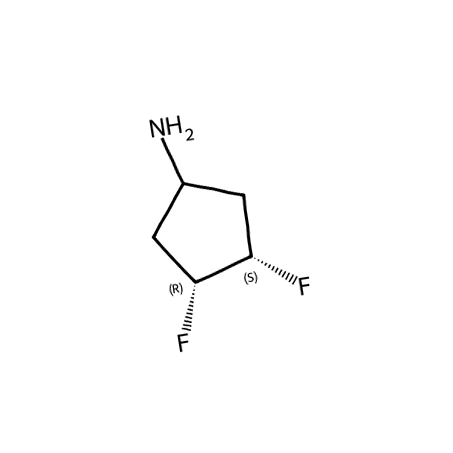 NC1C[C@@H](F)[C@@H](F)C1